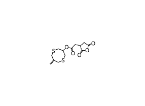 C=C1CSCC(OC(=O)CC2CC(=O)OC2=O)CSC1